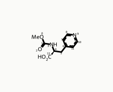 COC(=O)N[C@@H](Cc1ccncc1)C(=O)O